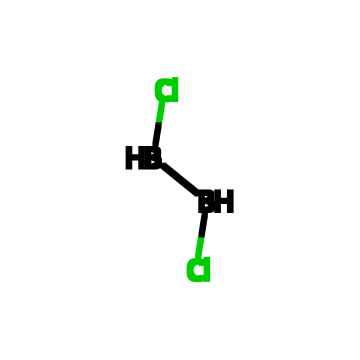 ClBBCl